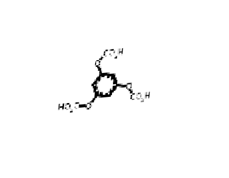 O=C(O)Oc1cc(OC(=O)O)cc(OC(=O)O)c1